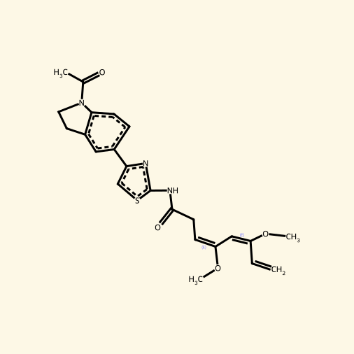 C=C/C(=C\C(=C/CC(=O)Nc1nc(-c2ccc3c(c2)CCN3C(C)=O)cs1)OC)OC